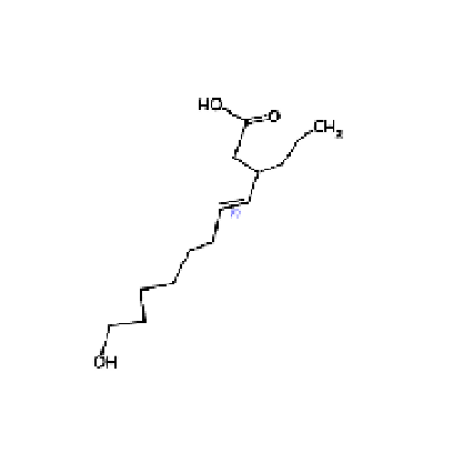 CCCC(/C=C/CCCCCCO)CC(=O)O